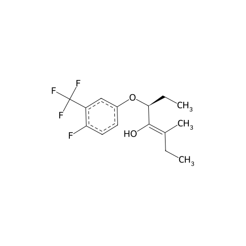 CC/C(C)=C(\O)[C@H](CC)Oc1ccc(F)c(C(F)(F)F)c1